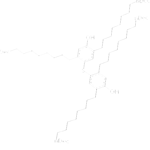 CCCCCCCCCCCCCCCCCCc1cc(Sc2cc(CCCCCCCCCCCCCCCCCC)c(O)cc2CCCCCCCCCCCCCCCCCC)c(CCCCCCCCCCCCCCCCCC)cc1O